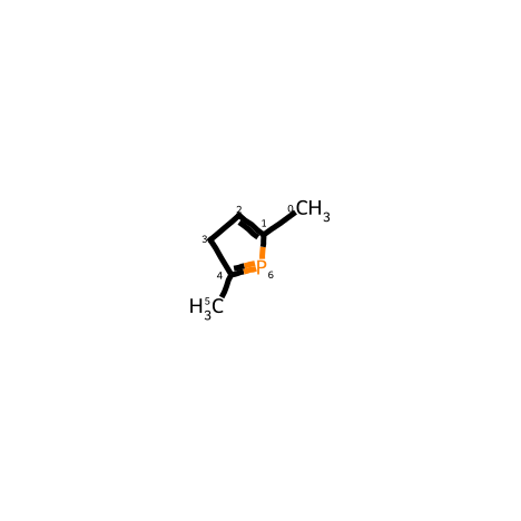 CC1=CCC(C)=P1